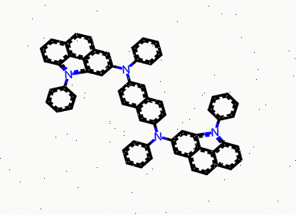 c1ccc(N(c2ccc3cc(N(c4ccccc4)c4cc5ccc6cccc7c6c5c(c4)n7-c4ccccc4)ccc3c2)c2cc3ccc4cccc5c4c3c(c2)n5-c2ccccc2)cc1